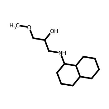 COCC(O)CNC1CCCC2CCCCC21